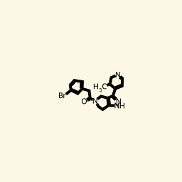 CC1CN=CC=C1c1n[nH]c2c1CN(C(=O)Cc1cccc(Br)c1)CC2